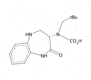 CC(C)(C)CN(C(=O)O)[C@H]1CNc2ccccc2NC1=O